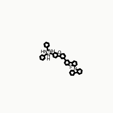 c1ccc(C2NC(c3ccccc3)NC(c3ccc4c(c3)oc3ccc(-c5ccc6sc7c(-n8c9ccccc9c9ccccc98)cccc7c6c5)cc34)N2)cc1